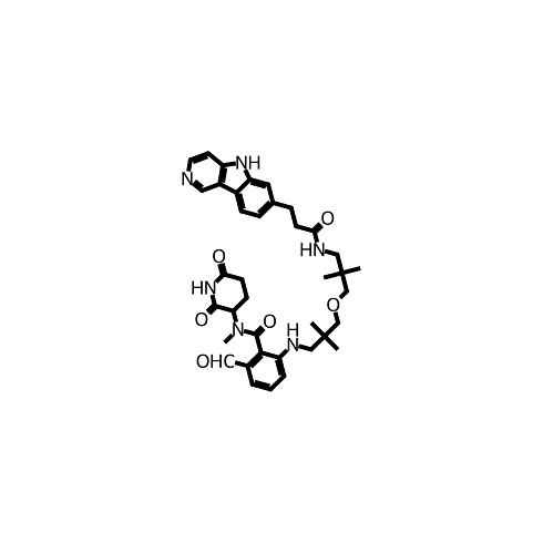 CN(C(=O)c1c(C=O)cccc1NCC(C)(C)COCC(C)(C)CNC(=O)CCc1ccc2c(c1)[nH]c1ccncc12)C1CCC(=O)NC1=O